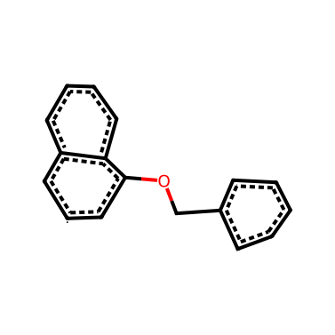 [c]1cc(OCc2ccccc2)c2ccccc2c1